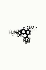 COc1ccc(-c2cncnc2)c2c1CCC1(COC(N)=N1)C2